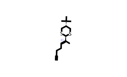 C#CCC/C=C(\C)[C@H]1SC[C@H](C(C)(C)C)CS1